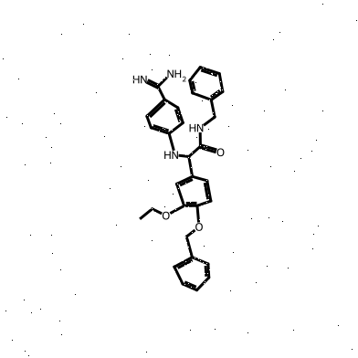 CCOc1cc(C(Nc2ccc(C(=N)N)cc2)C(=O)NCc2ccccc2)ccc1OCc1ccccc1